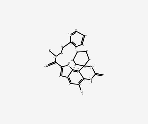 C=C1Nc2c(Cl)cc3cc(C(=O)N(C)CCc4ccccn4)oc3c2C2(CCCCC2)N1